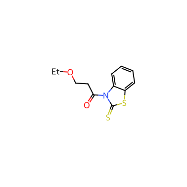 CCOCCC(=O)n1c(=S)sc2ccccc21